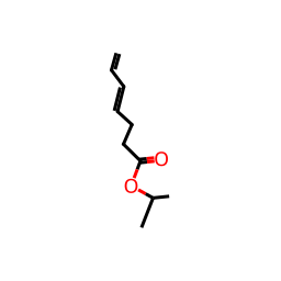 C=C/C=C/CCC(=O)OC(C)C